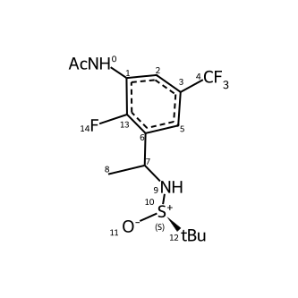 CC(=O)Nc1cc(C(F)(F)F)cc(C(C)N[S@+]([O-])C(C)(C)C)c1F